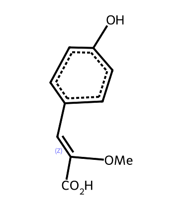 CO/C(=C\c1ccc(O)cc1)C(=O)O